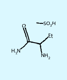 CCC(N)C(N)=O.CS(=O)(=O)O